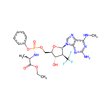 CCOC(=O)[C@@H](C)N[P@](=O)(OC[C@H]1O[C@@H](n2cnc3c(NC)nc(N)nc32)[C@@H](C(F)(F)F)[C@@H]1O)Oc1ccccc1